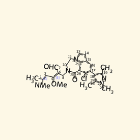 CN/C(C)=C\C(OC)=C(/C=O)CN1CCn2ccc3cc(-c4c(C)nn(C)c4C)c(Cl)c(c32)C1=O